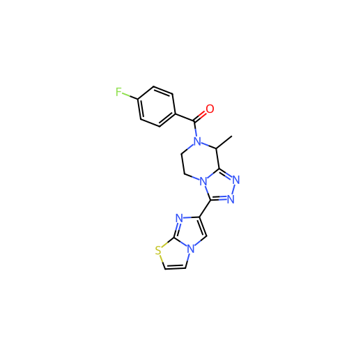 CC1c2nnc(-c3cn4ccsc4n3)n2CCN1C(=O)c1ccc(F)cc1